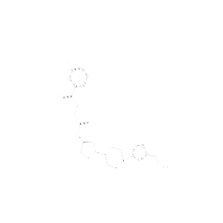 COCc1cnc(C2(O)CCC(N3CC[C@@H](NC(=O)CCC(=NO)c4cccc(C(F)(F)F)c4)C3)CC2)s1